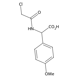 COc1ccc(C(NC(=O)CCl)C(=O)O)cc1